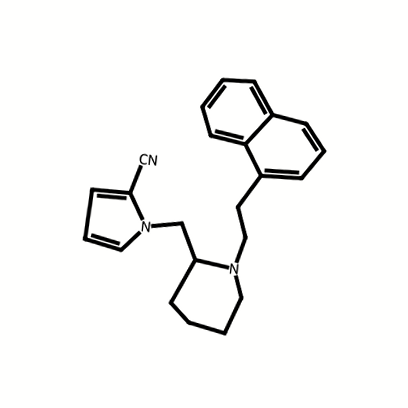 N#Cc1cccn1CC1CCCCN1CCc1cccc2ccccc12